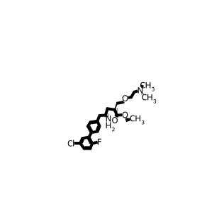 CCOC(=O)[C@H](CCOCCN(C)C)C[C@H](N)Cc1ccc(-c2cc(Cl)ccc2F)cc1